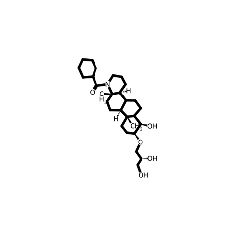 C[C@]12CC[C@H](OC[C@H](O)CO)[C@H](O)C1CCC1[C@@H]2CC[C@@]2(C)[C@H]1CCCN2C(=O)C1CCCCC1